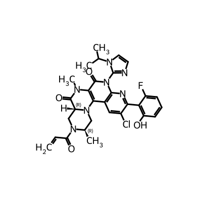 C=CC(=O)N1C[C@@H]2C(=O)N(C)c3c(c4cc(Cl)c(-c5c(O)cccc5F)nc4n(-c4nccn4C(C)C)c3=O)N2C[C@H]1C